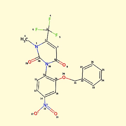 Cn1c(C(F)(F)F)cc(=O)n(-c2ccc([N+](=O)[O-])cc2OCc2ccccc2)c1=O